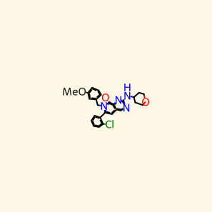 COc1cccc(Cn2c(-c3ccccc3Cl)cc3cnc(NC4CCOCC4)nc3c2=O)c1